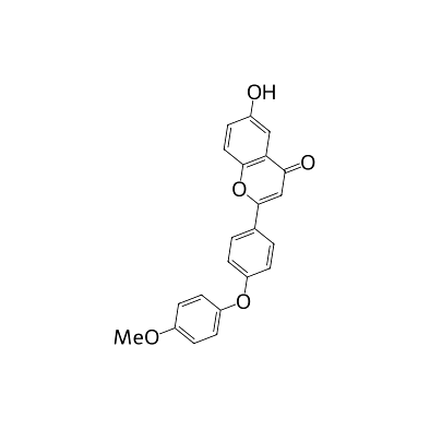 COc1ccc(Oc2ccc(-c3cc(=O)c4cc(O)ccc4o3)cc2)cc1